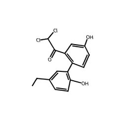 CCc1ccc(O)c(-c2ccc(O)cc2C(=O)C(Cl)Cl)c1